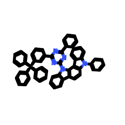 c1ccc(-c2nc(-c3cccc([Si](c4ccccc4)(c4ccccc4)c4ccccc4)c3)nc(-n3c4ccccc4c4ccc5c(c6ccccc6n5-c5ccccc5)c43)n2)cc1